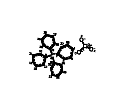 [O-][Cl+2]([O-])[O-].c1ccc([P+](c2ccccc2)(c2ccccc2)c2ccccc2)cc1